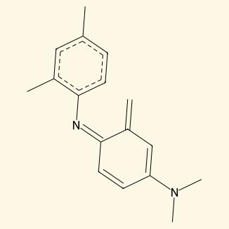 C=C1C=C(N(C)C)C=C/C1=N/c1ccc(C)cc1C